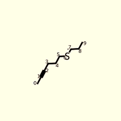 CC#CCCCS[CH]CC